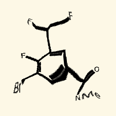 CNC(=O)c1cc(Br)c(F)c(C(F)F)c1